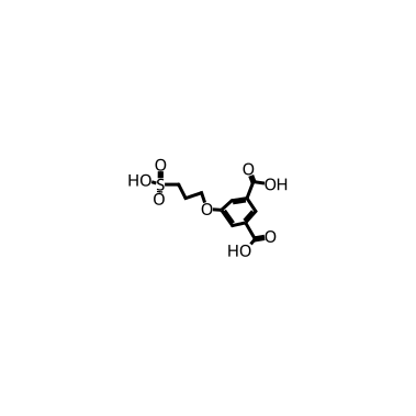 O=C(O)c1cc(OCCCS(=O)(=O)O)cc(C(=O)O)c1